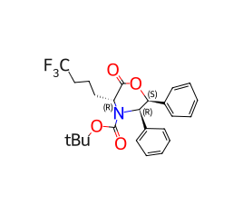 CC(C)(C)OC(=O)N1[C@H](CCCC(F)(F)F)C(=O)O[C@@H](c2ccccc2)[C@H]1c1ccccc1